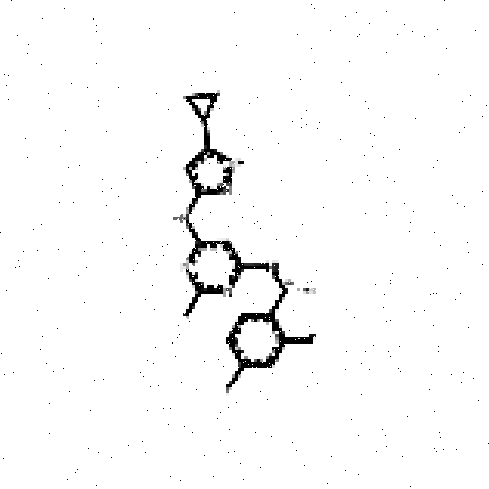 Cc1nc(Nc2cc(C3CC3)[nH]n2)cc(N[C@H](C)c2ccc(F)cc2F)n1